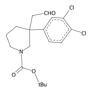 CC(C)(C)OC(=O)N1CCCC(CC=O)(c2ccc(Cl)c(Cl)c2)C1